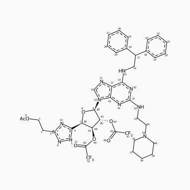 CC(=O)OCCn1nnc([C@H]2O[C@@H](n3cnc4c(NCC(c5ccccc5)c5ccccc5)nc(NCCN5CCCCC5)nc43)[C@H](OC(=O)C(F)(F)F)[C@H]2OC(=O)C(F)(F)F)n1